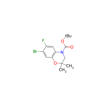 CC(C)(C)OC(=O)N1CC(C)(C)Oc2cc(Br)c(F)cc21